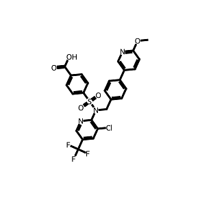 COc1ccc(-c2ccc(CN(c3ncc(C(F)(F)F)cc3Cl)S(=O)(=O)c3ccc(C(=O)O)cc3)cc2)cn1